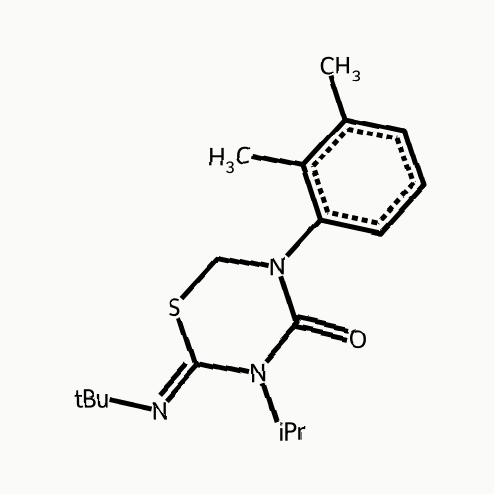 Cc1cccc(N2CS/C(=N\C(C)(C)C)N(C(C)C)C2=O)c1C